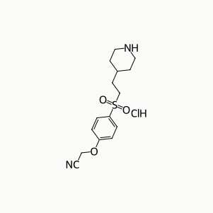 Cl.N#CCOc1ccc(S(=O)(=O)CCC2CCNCC2)cc1